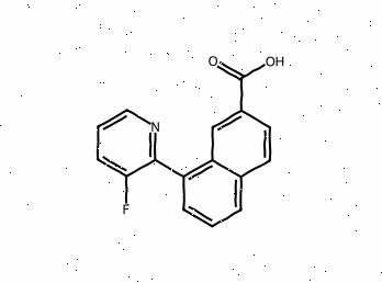 O=C(O)c1ccc2cccc(-c3ncccc3F)c2c1